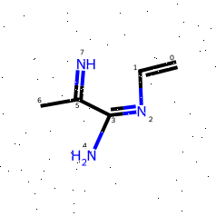 C=C/N=C(/N)C(C)=N